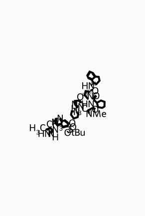 CNC(C)C(=O)NC(C(=O)N1C[C@@H](Oc2cnc(N3CCC(Oc4cc5ncnc(Nc6n[nH]c(C)c6C)c5cc4S(=O)(=O)C(C)(C)C)CC3)nc2)C[C@H]1C(=O)N[C@@H]1CCCc2ccccc21)C1CCCCC1